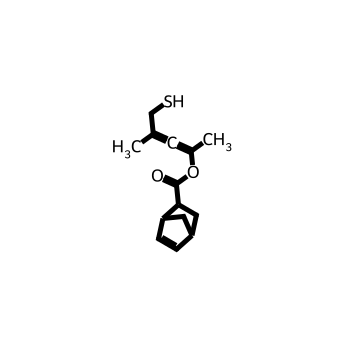 CC(=C=C(C)OC(=O)C1CC2C=CC1C2)CS